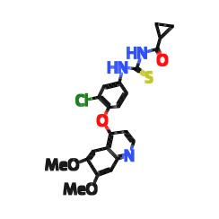 COc1cc2nccc(Oc3ccc(NC(=S)NC(=O)C4CC4)cc3Cl)c2cc1OC